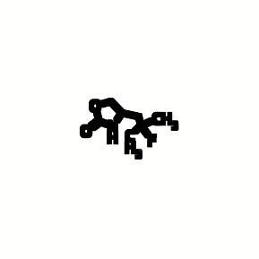 CC(C)(F)CC1COC(=O)N1